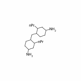 CCCC1CC(N)CCC1CC1CCC(N)CC1CCC